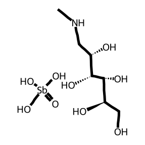 CNC[C@H](O)[C@@H](O)[C@H](O)[C@H](O)CO.[O]=[Sb]([OH])([OH])[OH]